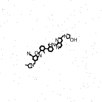 Cc1c(Nc2nccc3cc(CN4CC[C@@H](O)C4)cnc23)cccc1-c1cccc(-c2nc3cc(CN4CCC(C)C4)cc(C#N)c3o2)c1C